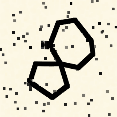 C1CCNC2(CC1)CCSC2